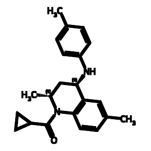 Cc1ccc(N[C@@H]2C[C@@H](C)N(C(=O)C3CC3)c3ccc(C)cc32)cc1